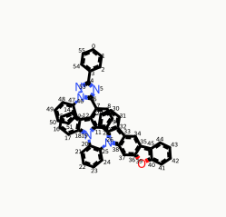 c1ccc(-c2nc(-c3cccc4c3c3ccccc3n4-c3ccccc3-n3c4ccccc4c4cc5c(cc43)oc3ccccc35)n(-c3ccccc3)n2)cc1